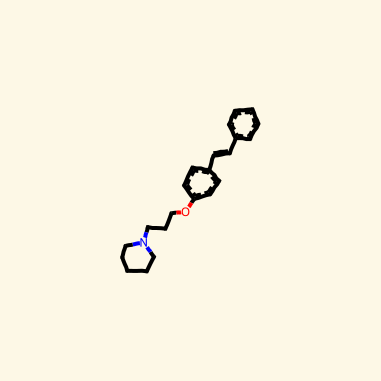 C(=Cc1ccc(OCCCN2CCCCC2)cc1)c1ccccc1